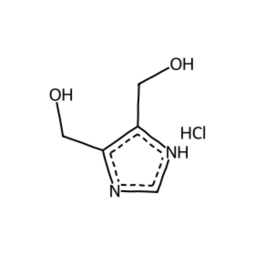 Cl.OCc1nc[nH]c1CO